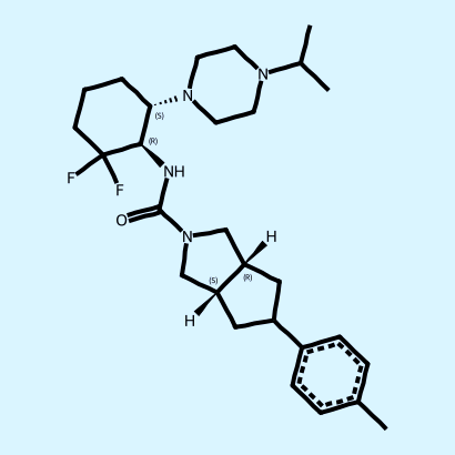 Cc1ccc(C2C[C@@H]3CN(C(=O)N[C@@H]4[C@@H](N5CCN(C(C)C)CC5)CCCC4(F)F)C[C@@H]3C2)cc1